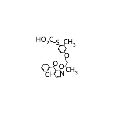 Cc1cc(OCCC(C)Oc2nccc(Cl)c2C(=O)c2ccccc2)ccc1SCC(=O)O